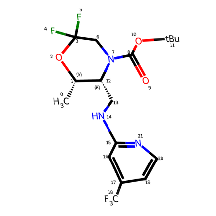 C[C@@H]1OC(F)(F)CN(C(=O)OC(C)(C)C)[C@@H]1CNc1cc(C(F)(F)F)ccn1